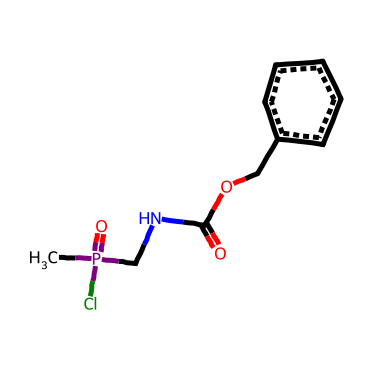 CP(=O)(Cl)CNC(=O)OCc1ccccc1